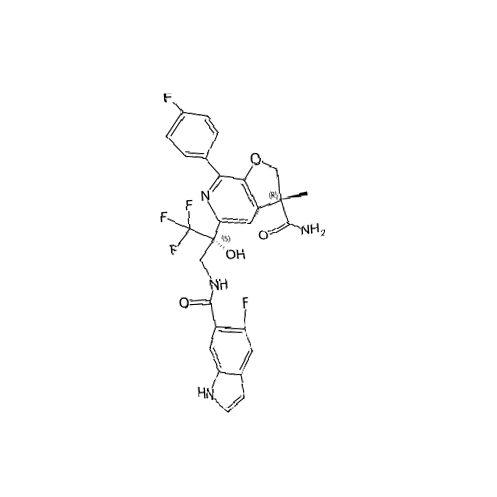 C[C@]1(C(N)=O)COc2c1cc([C@@](O)(CNC(=O)c1cc3[nH]ccc3cc1F)C(F)(F)F)nc2-c1ccc(F)cc1